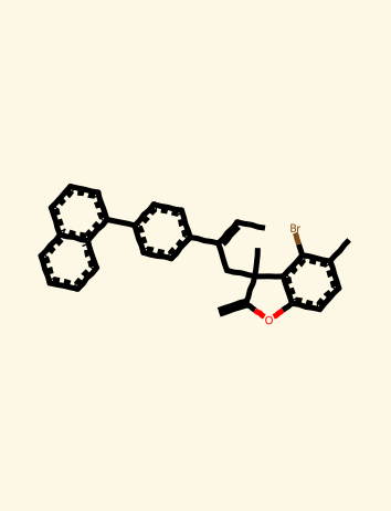 C=C1Oc2ccc(C)c(Br)c2C1(C)C/C(=C\C)c1ccc(-c2cccc3ccccc23)cc1